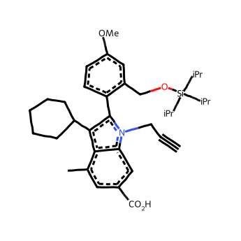 C#CCn1c(-c2ccc(OC)cc2CO[Si](C(C)C)(C(C)C)C(C)C)c(C2CCCCC2)c2c(C)cc(C(=O)O)cc21